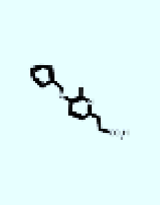 O=C(O)CCc1ccc(OCc2ccccc2)c(I)n1